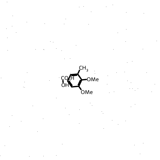 COc1cccc(C)c1OC.O=C(O)O